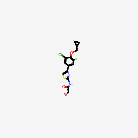 O=C(CBr)Nc1nc(-c2cc(F)c(OCC3CC3)c(Cl)c2)cs1